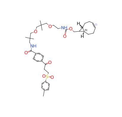 Cc1ccc(S(=O)(=O)CCC(=O)c2ccc(C(=O)NCC(C)(C)COCC(C)(C)COCCNC(=O)OCC3[C@H]4CC/C=C\CC[C@@H]34)cc2)cc1